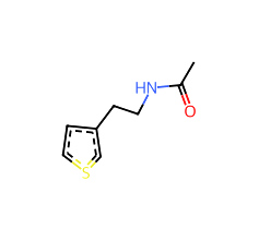 CC(=O)NCCc1ccsc1